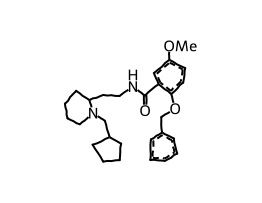 COc1ccc(OCc2ccccc2)c(C(=O)NCCC2CCCCN2CC2CCCC2)c1